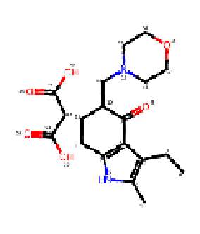 CCc1c(C)[nH]c2c1C(=O)C(CN1CCOCC1)CC2.O=C(O)CC(=O)O